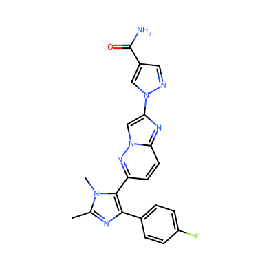 Cc1nc(-c2ccc(F)cc2)c(-c2ccc3nc(-n4cc(C(N)=O)cn4)cn3n2)n1C